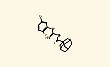 N=C(NC(=O)C12CC3CC(CC(C3)C1)C2)Nc1cc(Br)ccc1Br